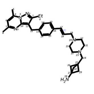 CCc1nn2c(C)cc(C)nc2c1Cc1ccc(/C=C/CN2CCN(CC34CC(N)(C3)C4)CC2)cc1